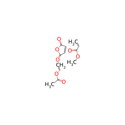 C=CC(=O)OC.C=COC(C)=O.O=C1C=CC(=O)O1